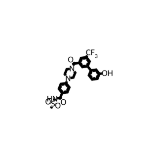 CS(=O)(=O)NC(=O)c1ccc(N2CCN(C(=O)c3cc(-c4cccc(O)c4)cc(C(F)(F)F)c3)CC2)cc1